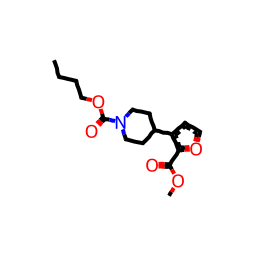 CCCCOC(=O)N1CCC(c2ccoc2C(=O)OC)CC1